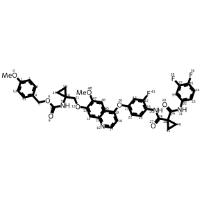 COc1ccc(COC(=O)NC2(COc3cc4nccc(Oc5ccc(NC(=O)C6(C(=O)Nc7ccc(F)c(F)c7)CC6)c(F)c5)c4cc3OC)CC2)cc1